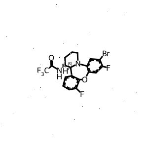 O=C(N[C@@H]1CCCN2c3cc(Br)c(F)cc3Oc3c(F)cccc3[C@@H]12)C(F)(F)F